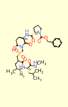 CNC(=O)[C@H](CC(C)C)NC(=O)C(CC(C)C)CP(=O)(O)CN1C(=O)CC[C@@H](NC(=O)[C@@H]2CCCN2C(=O)OCc2ccccc2)C1=O